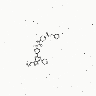 CCn1nnc2c(N3CCOCC3)nc(-c3ccc(NC(=O)NC4CCN(C(=O)OCc5ccccc5)CC4)cc3)nc21